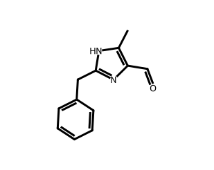 Cc1[nH]c(Cc2ccccc2)nc1C=O